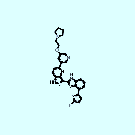 Fc1ccc(-c2cccc3[nH]c(-c4n[nH]c5ccc(-c6cncc(OCCN7CCCC7)c6)nc45)nc23)s1